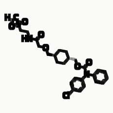 CS(=O)(=O)CCNC(=O)COC[C@H]1CC[C@H](COC(=O)N(c2ccccc2)c2ccc(Cl)cc2)CC1